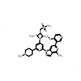 COc1ccncc1-c1cc2c(cnn2-c2cc(N3C[C@H](CS(C)(=O)=O)[C@H]3C)cc(C3CCN(C)CC3)n2)c(C)n1